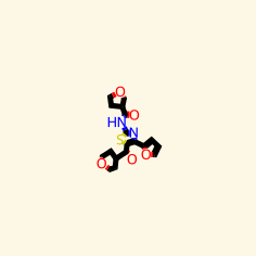 O=C(Nc1nc(-c2ccco2)c(C(=O)C2CCOCC2)s1)C1CCOC1